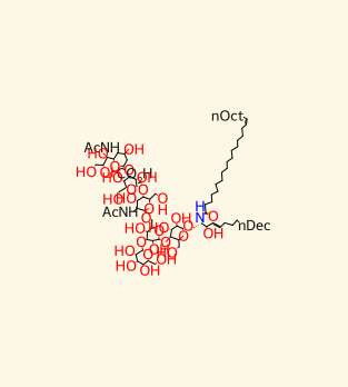 CCCCCCCC/C=C\CCCCCCCCCCCCCCCC(=O)N[C@@H](CO[C@@H]1OC(CO)[C@@H](O[C@@H]2OC(CO[C@@H]3OC(CO)[C@@H](O[C@@H]4OC(CO)[C@H](O)[C@H](O[C@]5(C(=O)O)CC(O)[C@@H](NC(C)=O)C([C@H](O)[C@H](O)CO)O5)C4O)[C@H](O)C3NC(C)=O)[C@H](O)[C@H](O[C@H]3OC(CO)[C@H](O)[C@H](O)C3O)C2O)[C@H](O)C1O)[C@H](O)/C=C/CCCCCCCCCCCCC